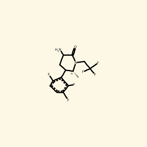 C[C@@H]1C(c2c(F)ccc(F)c2F)CC(N)C(=O)N1CC(F)(F)F